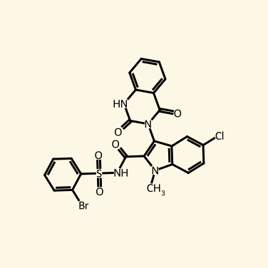 Cn1c(C(=O)NS(=O)(=O)c2ccccc2Br)c(-n2c(=O)[nH]c3ccccc3c2=O)c2cc(Cl)ccc21